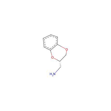 NC[C@H]1COc2ccccc2O1